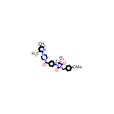 COc1ccc(CN2C(=O)N(c3ccc(C(=O)N4CCN(c5ncc(C)cc5C)CC4)cc3)C(C)(C)C2=O)cc1